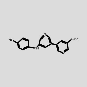 COc1cncc(-c2cncc(Nc3ccc(C#N)cc3)c2)c1